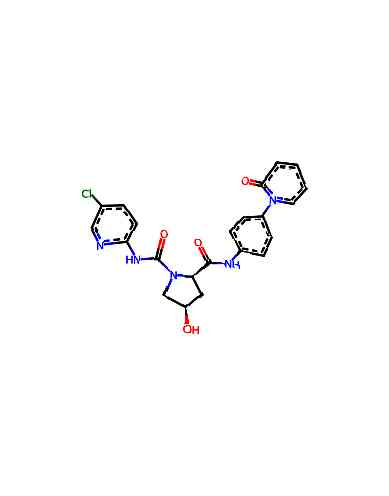 O=C(Nc1ccc(-n2ccccc2=O)cc1)[C@H]1C[C@@H](O)CN1C(=O)Nc1ccc(Cl)cn1